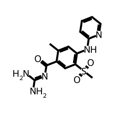 Cc1cc(Nc2ccccn2)c(S(C)(=O)=O)cc1C(=O)N=C(N)N